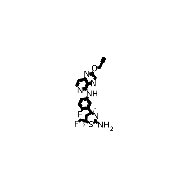 C#CCOc1cnc2c(Nc3ccc(F)c([C@]4(C)C[C@](C)(CF)SC(N)=N4)c3)nccc2n1